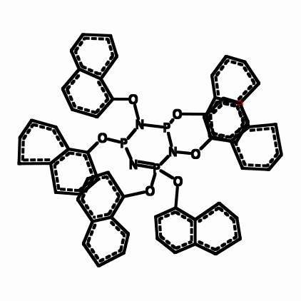 c1ccc2c(ON3P(Oc4cccc5ccccc45)N=P(Oc4cccc5ccccc45)(Oc4cccc5ccccc45)N(Oc4cccc5ccccc45)P3Oc3cccc4ccccc34)cccc2c1